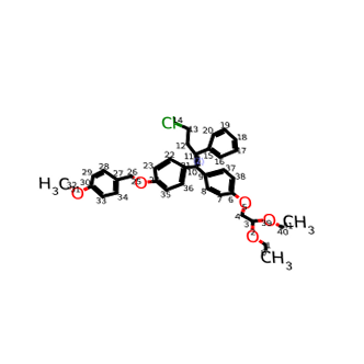 CCOC(COc1ccc(/C(=C(/CCCl)c2ccccc2)c2ccc(OCc3ccc(OC)cc3)cc2)cc1)OCC